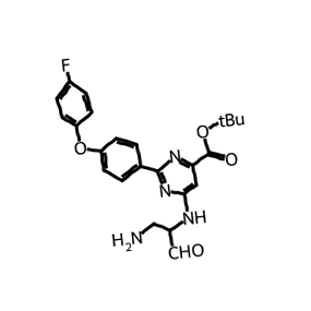 CC(C)(C)OC(=O)c1cc(NC(C=O)CN)nc(-c2ccc(Oc3ccc(F)cc3)cc2)n1